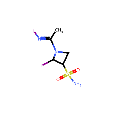 CC(=NI)N1CC(S(N)(=O)=O)C1I